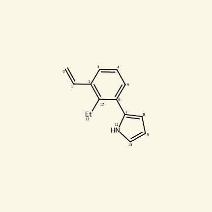 C=Cc1cccc(-c2ccc[nH]2)c1CC